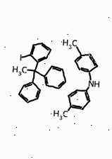 CC(c1ccccc1)(c1ccccc1)c1ccccc1I.Cc1ccc(Nc2ccc(C)cc2)cc1